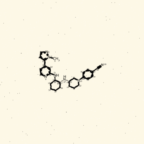 Cn1nccc1-c1ccnc(N[C@@H]2CCCC[C@H]2N[C@H]2CCCN(c3ccc(C#N)cc3)C2)c1